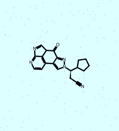 N#CC[C@H](C1CCCC1)n1cc2c(n1)C(=O)C1C=Nc3nccc-2c31